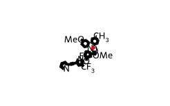 COC(=O)c1cc(Oc2ncc(C#Cc3ccccn3)cc2C(F)(F)F)c(F)cc1N(C(=O)[C@H]1CC[C@H](C)CC1)C1CCC(OC)CC1